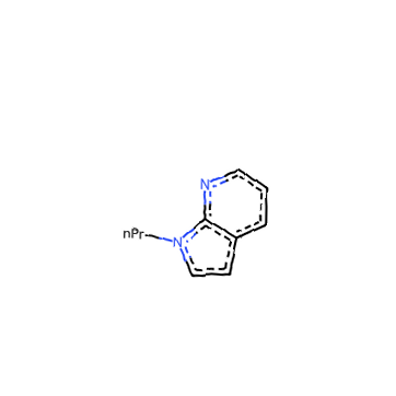 CCCn1ccc2cccnc21